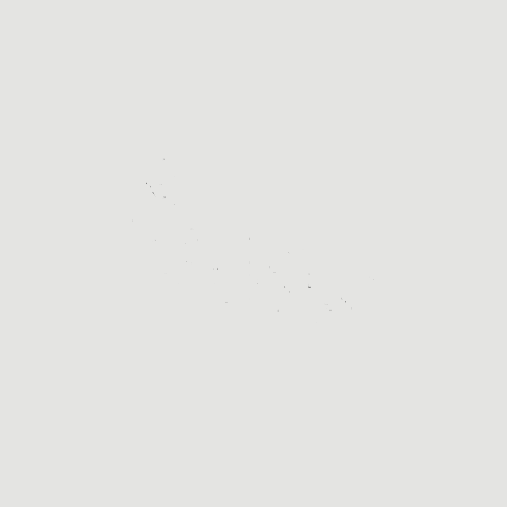 C#Cc1cc(C(=O)N(C)c2c(C)cc(C)[nH]c2=O)c(C)c2c1OC(C)([C@H]1CC[C@H](NC(=O)O)CC1)O2